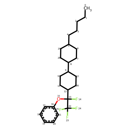 CCCCCC1CCC(C2CCC(C(F)(Oc3ccccc3)C(F)(F)F)CC2)CC1